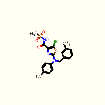 Cc1cccc(CN(c2ccc(C#N)cc2)c2nc(C(=O)NS(C)(=O)=O)c(Br)s2)c1